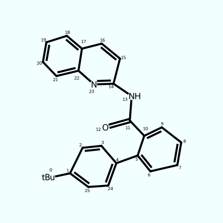 CC(C)(C)c1ccc(-c2ccccc2C(=O)Nc2ccc3ccccc3n2)cc1